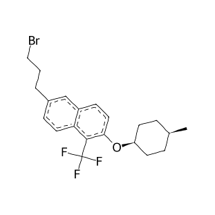 C[C@H]1CC[C@@H](Oc2ccc3cc(CCCBr)ccc3c2C(F)(F)F)CC1